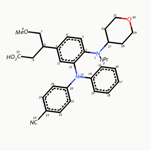 CCCN(c1ccc(C(COC)CC(=O)O)cc1N(c1ccccc1)c1ccc(C#N)cc1)C1CCOCC1